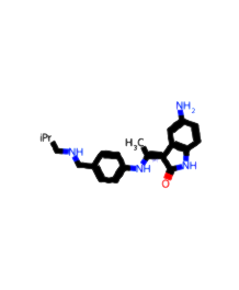 C/C(Nc1ccc(CNCC(C)C)cc1)=C1/C(=O)Nc2ccc(N)cc21